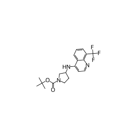 CC(C)(C)OC(=O)N1CCC(Nc2ccnc3c(C(F)(F)F)cccc23)C1